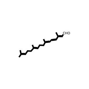 CC(C)=CCC/C(C)=C/CC/C(C)=C/C=C/C(C)=C/C=O